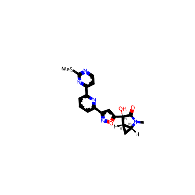 CSc1nccc(-c2cccc(-c3cc([C@@]4(O)C(=O)N(C)[C@@H]5C[C@@H]54)on3)n2)n1